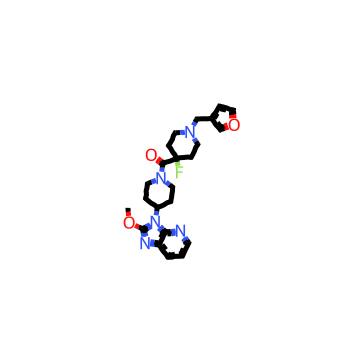 COc1nc2cccnc2n1C1CCN(C(=O)C2(F)CCN(Cc3ccoc3)CC2)CC1